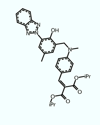 Cc1cc(CN(C)c2ccc(C=C(C(=O)OC(C)C)C(=O)OC(C)C)cc2)c(O)c(-n2nc3ccccc3n2)c1